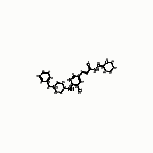 O=C(C=Cc1cnc(NC2CCN(Cc3cccnc3)CC2)c(Cl)c1)NOC1CCCCO1